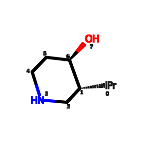 CC(C)[C@@H]1CNCC[C@H]1O